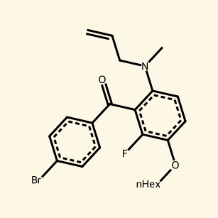 C=CCN(C)c1ccc(OCCCCCC)c(F)c1C(=O)c1ccc(Br)cc1